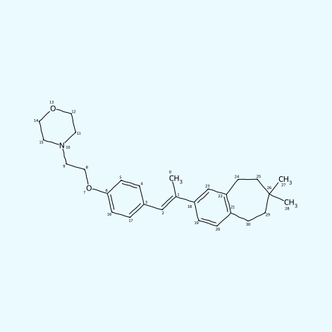 CC(=Cc1ccc(OCCN2CCOCC2)cc1)c1ccc2c(c1)CCC(C)(C)CC2